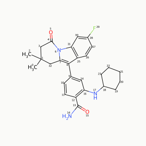 CC1(C)CC(=O)n2c(c(-c3ccc(C(N)=O)c(NC4CCCCC4)c3)c3ccc(F)cc32)C1